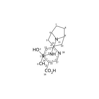 CB(O)NC1CC2CCC(C1)N2c1ccc(C(=O)O)cn1